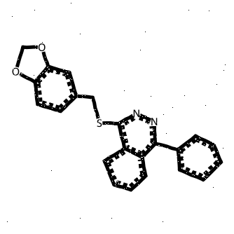 c1ccc(-c2nnc(SCc3ccc4c(c3)OCO4)c3ccccc23)cc1